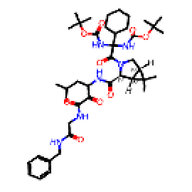 CC(C)CC(NC(=O)[C@@H]1[C@@H]2[C@H](CN1C(=O)C(NC(=O)OC(C)(C)C)(NC(=O)OC(C)(C)C)C1CCCCC1)C2(C)C)C(=O)C(=O)NCC(=O)NCc1ccccc1